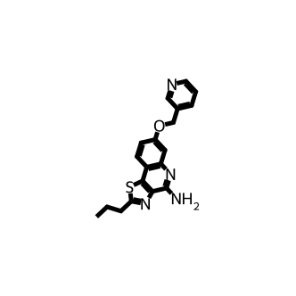 CCCc1nc2c(N)nc3cc(OCc4cccnc4)ccc3c2s1